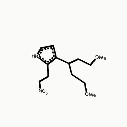 COCCC(CCOC)c1cc[nH]c1CC[N+](=O)[O-]